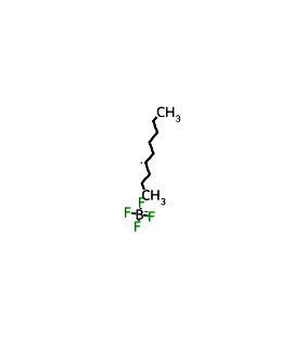 CCC[CH]CCCCC.F[B-](F)(F)F